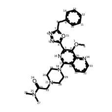 COc1c(-c2nnc(Cc3ccccc3)o2)nc(N2CCN(CC(=O)N(C)C)CC2)c2cccnc12